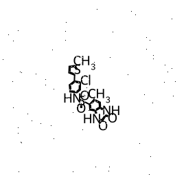 Cc1ccc(-c2ccc(NS(=O)(=O)c3cc4[nH]c(=O)c(=O)[nH]c4cc3C)cc2Cl)s1